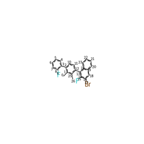 Cc1c(-c2ccccc2F)ccc(-c2c(F)c(Br)cc3ccccc23)c1C